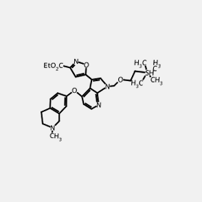 CCOC(=O)c1cc(-c2cn(COCC[SH](C)(C)(C)C)c3nccc(Oc4ccc5c(c4)CN(C)CC5)c23)on1